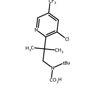 CC(C)(CN(C(=O)O)C(C)(C)C)c1ncc(C(F)(F)F)cc1Cl